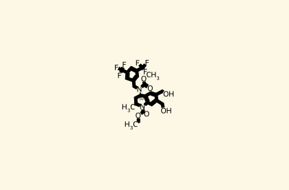 CCOC(=O)N1c2cc(CO)c(CO)cc2[C@@H](N(Cc2cc(C(F)(F)F)cc(C(F)(F)F)c2)C(=O)OC)C[C@H]1C